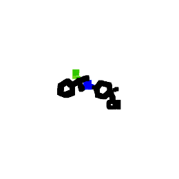 C[C@]1(CC#N)CC[C@@H](N2CC(F)(c3ccccc3)C2)CC1